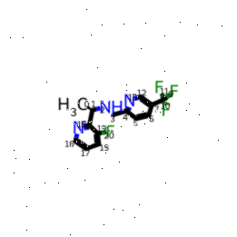 C[C@@H](NCc1ccc(C(F)(F)F)cn1)c1ncccc1F